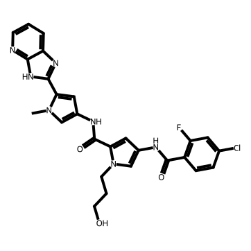 Cn1cc(NC(=O)c2cc(NC(=O)c3ccc(Cl)cc3F)cn2CCCO)cc1-c1nc2cccnc2[nH]1